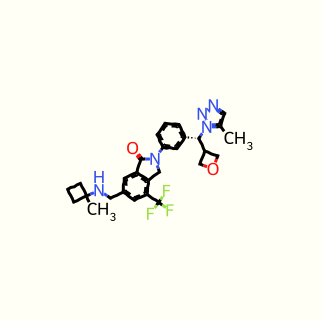 Cc1cnnn1[C@@H](c1cccc(N2Cc3c(cc(CNC4(C)CCC4)cc3C(F)(F)F)C2=O)c1)C1COC1